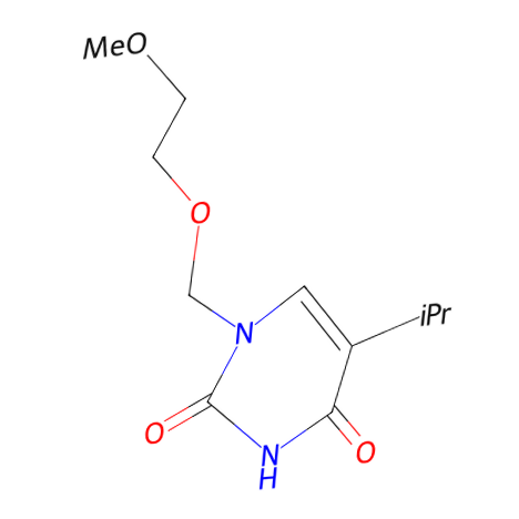 COCCOCn1cc(C(C)C)c(=O)[nH]c1=O